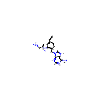 C=Cc1ccc(Cn2cnc3c(N)ncnc32)c2[nH]c(CN)cc12